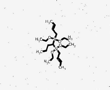 CC=CC[Si](OCC)(OCC)C(CCC)[Si](CC=CC)(OCC)OCC